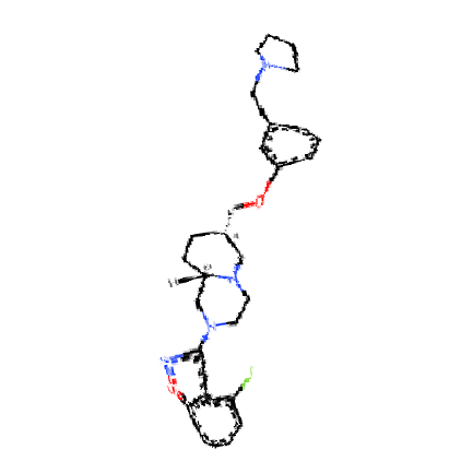 Fc1cccc2onc(N3CCN4C[C@@H](COc5cccc(CN6CCCC6)c5)CC[C@H]4C3)c12